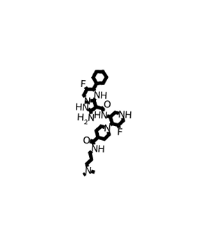 CN(C)CCCNC(=O)C1CCN(C2C(F)CNCC2NC(=O)C2C(N)NN3CC(F)C(C4CCCCC4)NC23)CC1